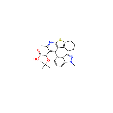 Cc1nc2sc3c(c2c(-c2cccc4c2cnn4C)c1C(OC(C)(C)C)C(=O)O)CCCC3